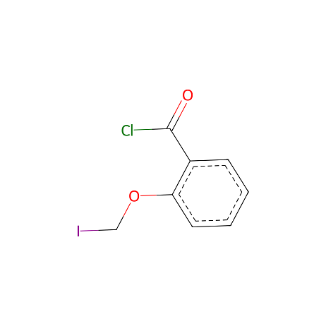 O=C(Cl)c1ccccc1OCI